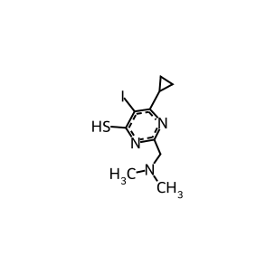 CN(C)Cc1nc(S)c(I)c(C2CC2)n1